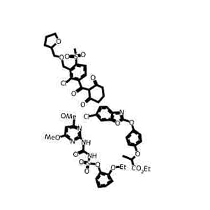 CCOC(=O)C(C)Oc1ccc(Oc2nc3ccc(Cl)cc3o2)cc1.CCOc1ccccc1OS(=O)(=O)NC(=O)Nc1nc(OC)cc(OC)n1.CS(=O)(=O)c1ccc(C(=O)C2C(=O)CCCC2=O)c(Cl)c1COCC1CCCO1